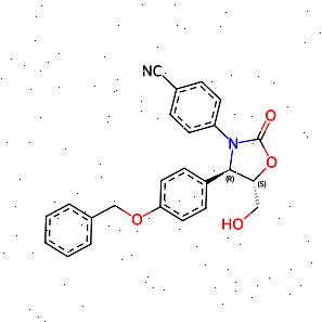 N#Cc1ccc(N2C(=O)O[C@H](CO)[C@H]2c2ccc(OCc3ccccc3)cc2)cc1